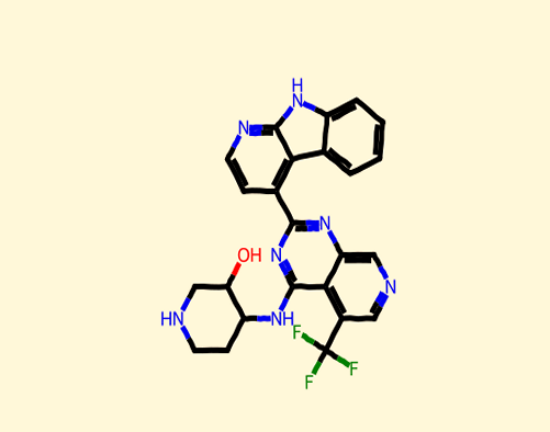 OC1CNCCC1Nc1nc(-c2ccnc3[nH]c4ccccc4c23)nc2cncc(C(F)(F)F)c12